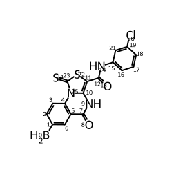 Bc1ccc2c(c1)c(=O)[nH]c1c(C(=O)Nc3cccc(Cl)c3)sc(=S)n12